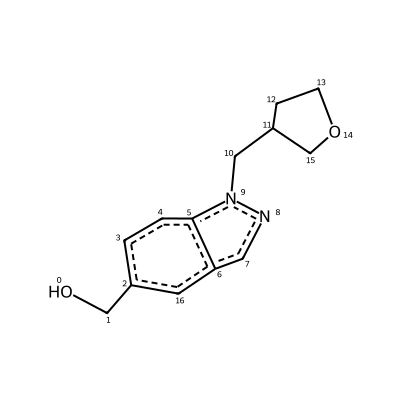 OCc1ccc2c(cnn2CC2CCOC2)c1